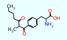 CCCCC(=O)C(C)C(=O)c1ccc(CC(N)C(=O)O)cc1